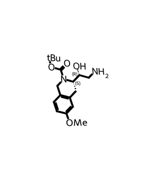 COc1ccc2c(c1)C[C@@H]([C@H](O)CN)N(C(=O)OC(C)(C)C)C2